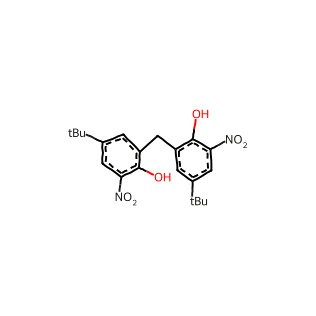 CC(C)(C)c1cc(Cc2cc(C(C)(C)C)cc([N+](=O)[O-])c2O)c(O)c([N+](=O)[O-])c1